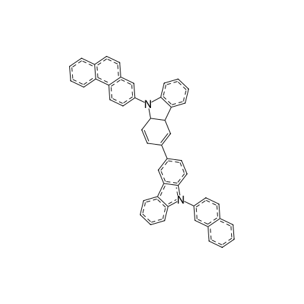 C1=CC2C(C=C1c1ccc3c(c1)c1ccccc1n3-c1ccc3ccccc3c1)c1ccccc1N2c1ccc2c(ccc3ccccc32)c1